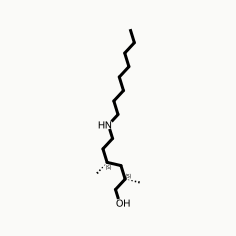 CCCCCCCCNCC[C@@H](C)C[C@H](C)CO